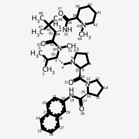 CC(C)[C@@H](CN1CCC[C@H]1C(=O)N1CCC[C@H]1C(=O)Nc1ccc2ccccc2c1)N(C)C(=O)[C@@H](NC(=O)C1CCCCN1C)C(C)(C)C